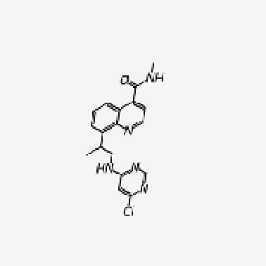 CNC(=O)c1ccnc2c(C(C)CNc3cc(Cl)ncn3)cccc12